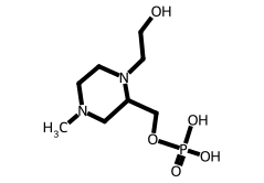 CN1CCN(CCO)C(COP(=O)(O)O)C1